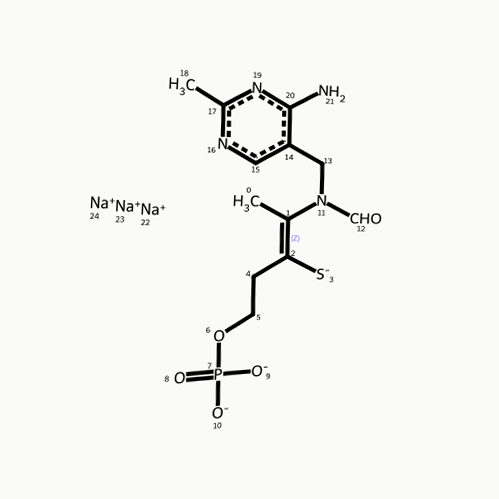 C/C(=C(/[S-])CCOP(=O)([O-])[O-])N(C=O)Cc1cnc(C)nc1N.[Na+].[Na+].[Na+]